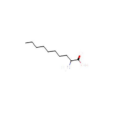 CCCCCCCCC(N)C(=O)O